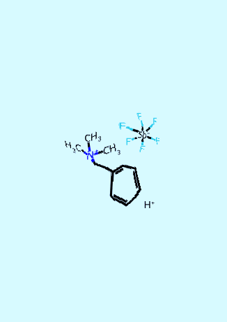 C[N+](C)(C)Cc1ccccc1.[F][Sb-]([F])([F])([F])([F])[F].[H+]